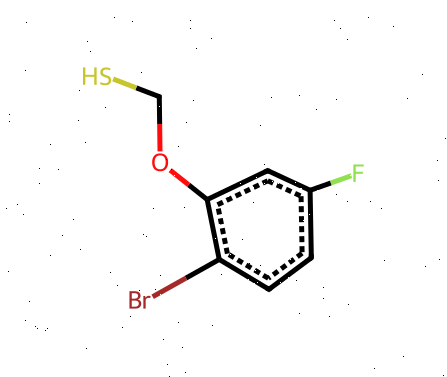 Fc1ccc(Br)c(OCS)c1